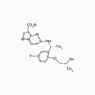 CCOC(=O)c1cnn2ccc(N[C@H](C)c3cc(F)ccc3OC[C@@H](C)O)nc12